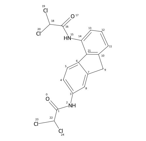 O=C(Nc1ccc2c(c1)Cc1cccc(NC(=O)C(Cl)Cl)c1-2)C(Cl)Cl